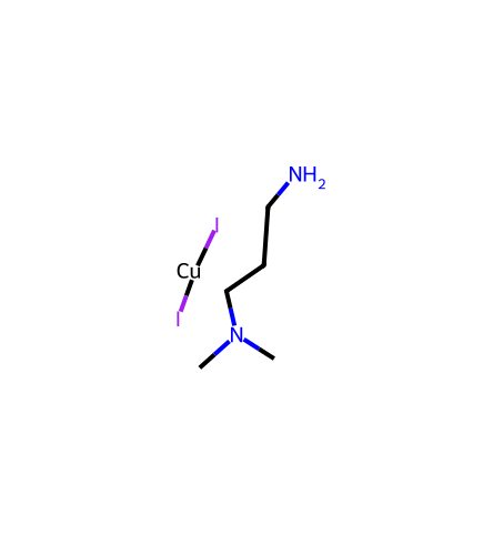 CN(C)CCCN.[I][Cu][I]